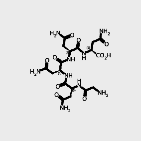 NCC(=O)N[C@@H](CC(N)=O)C(=O)N[C@@H](CC(N)=O)C(=O)N[C@@H](CC(N)=O)C(=O)N[C@@H](CC(N)=O)C(=O)O